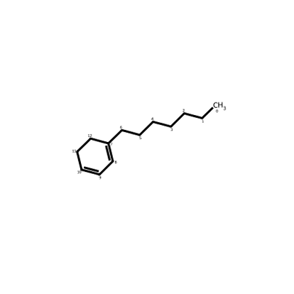 CCCCCCCC1=CC=CCC1